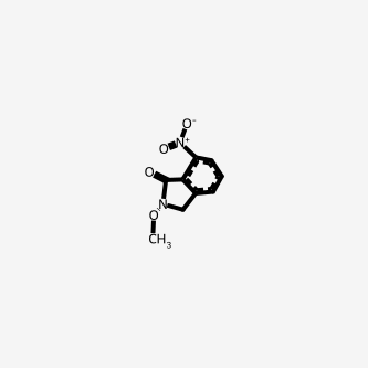 CON1Cc2cccc([N+](=O)[O-])c2C1=O